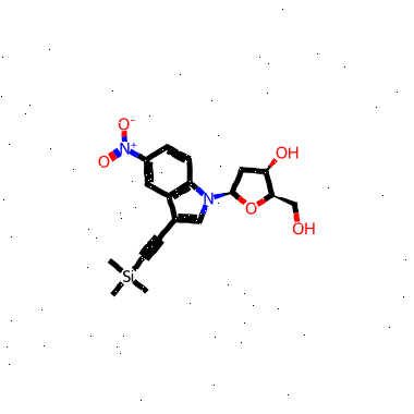 C[Si](C)(C)C#Cc1cn([C@H]2C[C@@H](O)[C@@H](CO)O2)c2ccc([N+](=O)[O-])cc12